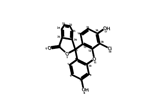 O=C1OC2(c3ccc(O)cc3Oc3c2ccc(O)c3Cl)c2ccccc21